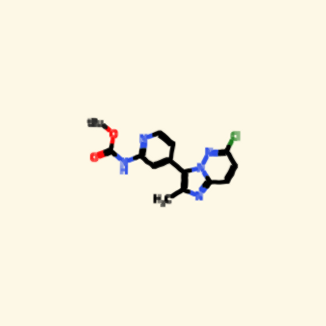 Cc1nc2ccc(Cl)nn2c1-c1ccnc(NC(=O)OC(C)(C)C)c1